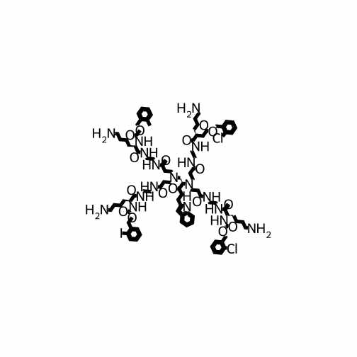 Cc1ccccc1COC(=O)N[C@H](CCCCN)C(=O)NCCNC(=O)CCN(CCC(=O)NCCNC(=O)[C@H](CCCCN)NC(=O)OCc1ccccc1I)C[C@@H](C(=O)CCc1cc2ccccc2[nH]1)N(CCC(=O)NCCNC(=O)[C@H](CCCCN)CC(=O)OCc1ccccc1Cl)CCC(=O)NCCNC(=O)[C@H](CCCCN)NC(=O)OCc1ccccc1Cl